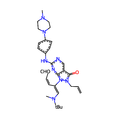 C=CCn1c(=O)c2cnc(Nc3ccc(N4CCN(C)CC4)cc3)nc2n1C(/C=C\C=O)=C/N(C)C(C)(C)C